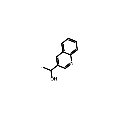 [CH2]C(O)c1cnc2ccccc2c1